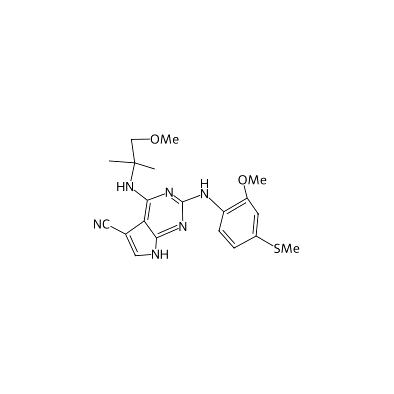 COCC(C)(C)Nc1nc(Nc2ccc(SC)cc2OC)nc2[nH]cc(C#N)c12